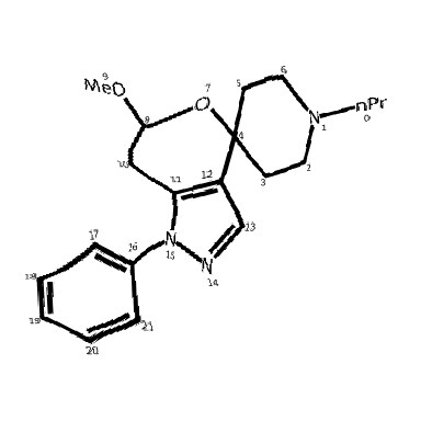 CCCN1CCC2(CC1)OC(OC)Cc1c2cnn1-c1ccccc1